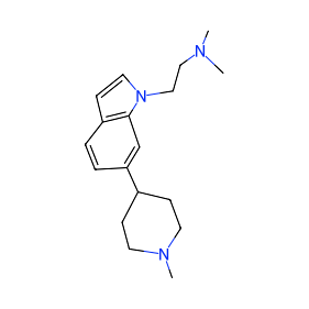 CN(C)CCn1ccc2ccc(C3CCN(C)CC3)cc21